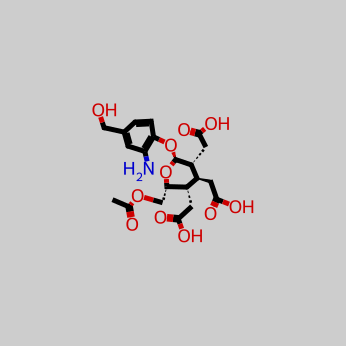 CC(=O)OC[C@@H]1O[C@@H](Oc2ccc(CO)cc2N)[C@H](CC(=O)O)[C@@H](CC(=O)O)[C@@H]1CC(=O)O